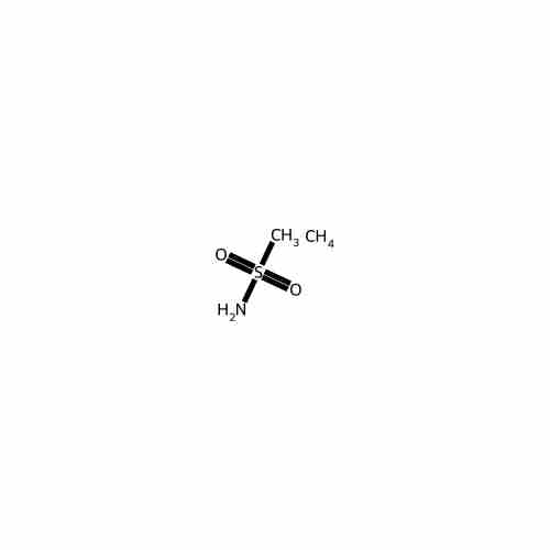 C.CS(N)(=O)=O